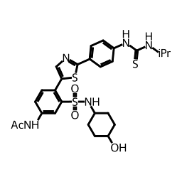 CC(=O)Nc1ccc(-c2cnc(-c3ccc(NC(=S)NC(C)C)cc3)s2)c(S(=O)(=O)NC2CCC(O)CC2)c1